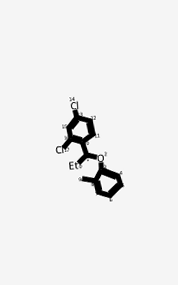 [CH2]CC(Oc1ccccc1C)c1ccc(Cl)cc1Cl